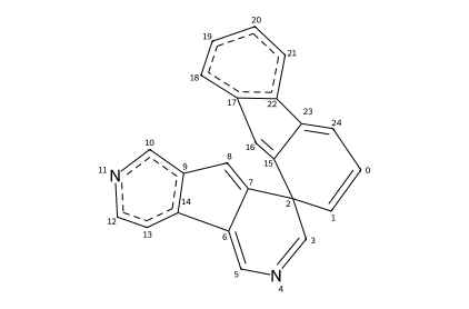 C1=CC2(C=NC=C3C2=Cc2cnccc23)C2=Cc3ccccc3C2=C1